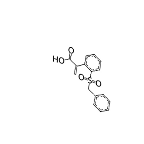 C=C(C(=O)O)c1ccccc1S(=O)(=O)Cc1ccccc1